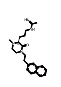 CC(=N)NCCC[C@H]1C(=O)N(CCc2ccc3ccccc3c2)CCN1C